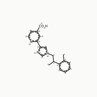 Cc1ccccc1C(C)Cn1cnc(-c2cc(C(=O)O)ccn2)c1